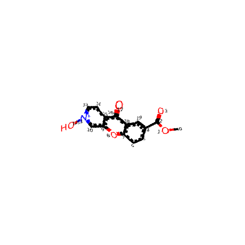 COC(=O)c1ccc2oc3c[n+](O)ccc3c(=O)c2c1